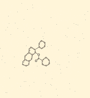 O=C(Oc1c(-c2ccccc2)ccc2cc3ccccc3cc12)c1ccccc1